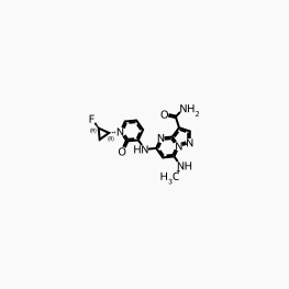 CNc1cc(Nc2cccn([C@@H]3C[C@H]3F)c2=O)nc2c(C(N)=O)cnn12